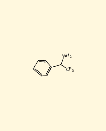 NC(c1c[c]ccc1)C(F)(F)F